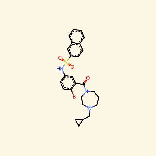 O=C(c1cc(NS(=O)(=O)c2ccc3ccccc3c2)ccc1Br)N1CCCN(CC2CC2)CC1